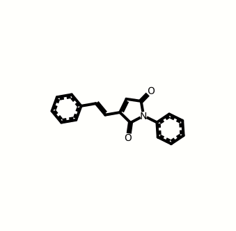 O=C1C=C(C=Cc2ccccc2)C(=O)N1c1ccccc1